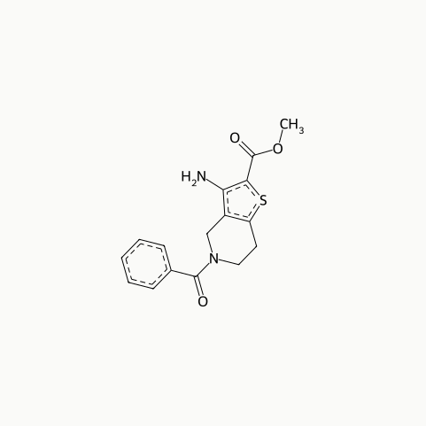 COC(=O)c1sc2c(c1N)CN(C(=O)c1ccccc1)CC2